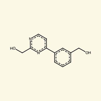 OCc1cccc(-c2ccnc(CO)n2)c1